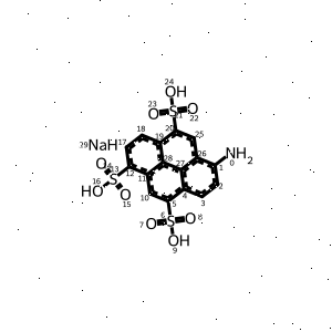 Nc1ccc2c(S(=O)(=O)O)cc3c(S(=O)(=O)O)ccc4c(S(=O)(=O)O)cc1c2c43.[NaH]